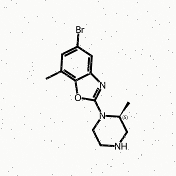 Cc1cc(Br)cc2nc(N3CCNC[C@@H]3C)oc12